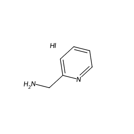 I.NCc1ccccn1